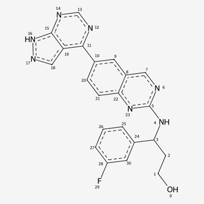 OCCC(Nc1ncc2cc(-c3ncnc4[nH]ncc34)ccc2n1)c1cccc(F)c1